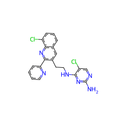 Nc1ncc(Cl)c(NCCc2cc3cccc(Cl)c3nc2-c2ccccn2)n1